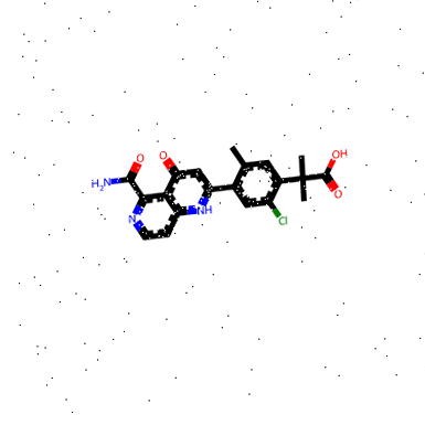 Cc1cc(C(C)(C)C(=O)O)c(Cl)cc1-c1cc(=O)c2c(C(N)=O)nccc2[nH]1